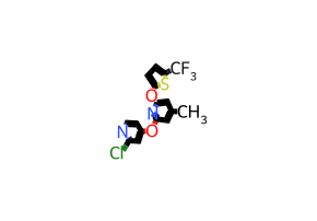 Cc1cc(Oc2ccnc(Cl)c2)nc(Oc2ccc(C(F)(F)F)s2)c1